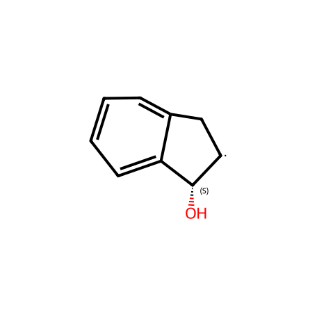 O[C@H]1[CH]Cc2ccccc21